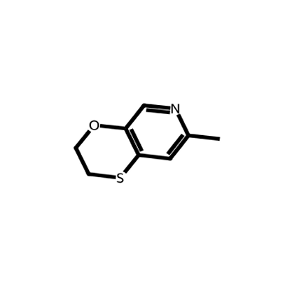 Cc1cc2c(cn1)OCCS2